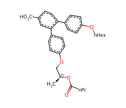 CCCCCCOc1ccc(-c2ccc(C(=O)O)cc2-c2ccc(OC[C@H](C)OC(=O)CCC)cc2)cc1